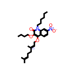 CCCCCCn1c(=O)c(OCCCC)c(OC/C=C(\C)CCC=C(C)C)c2ccc([N+](=O)[O-])cc21